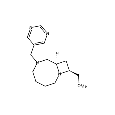 COC[C@@H]1C[C@@H]2CN(Cc3cncnc3)CCCCN12